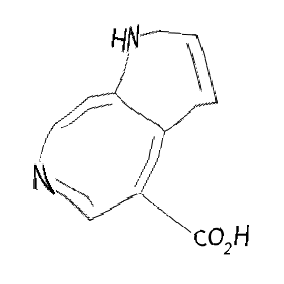 O=C(O)c1cncc2[nH]ccc12